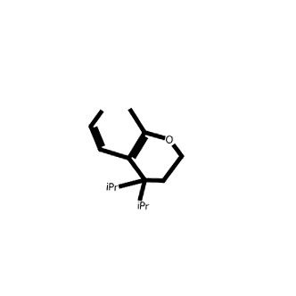 C/C=C\C1=C(C)OCCC1(C(C)C)C(C)C